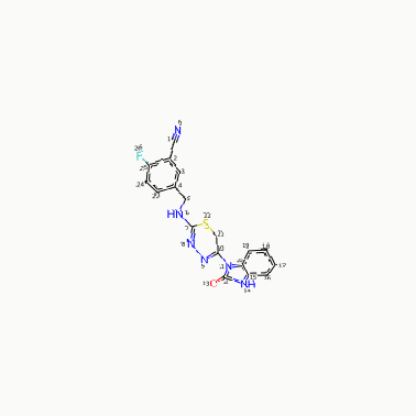 N#Cc1cc(CNC2=NN=C(n3c(=O)[nH]c4ccccc43)CS2)ccc1F